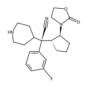 N#C[C@@](c1cccc(F)c1)(C1CCNCC1)[C@H]1CCC[C@@H]1N1CCOC1=O